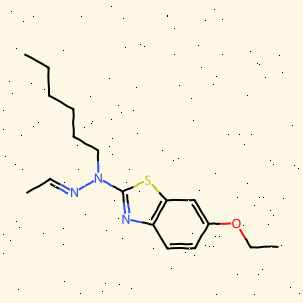 C/C=N/N(CCCCCC)c1nc2ccc(OCC)cc2s1